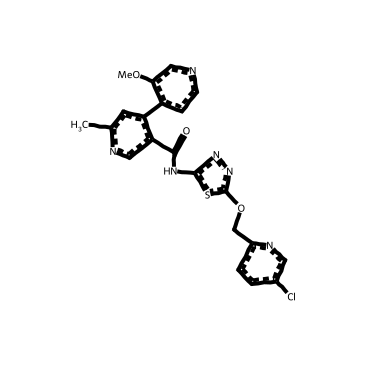 COc1cnccc1-c1cc(C)ncc1C(=O)Nc1nnc(OCc2ccc(Cl)cn2)s1